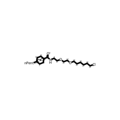 CCCCCC12CCC(C(=O)NCCOCCOCCCCCCCl)(CC1)CC2